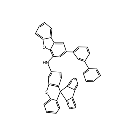 c1ccc(-c2cccc(-c3cc(Nc4ccc5c(c4)Sc4ccccc4C54c5ccccc5-c5ccccc54)c4oc5ccccc5c4c3)c2)cc1